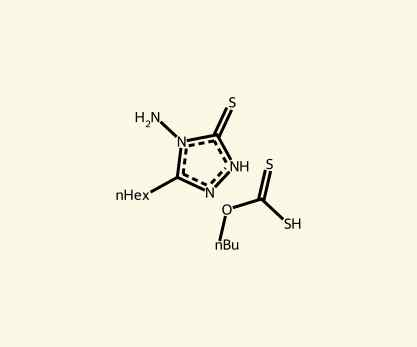 CCCCCCc1n[nH]c(=S)n1N.CCCCOC(=S)S